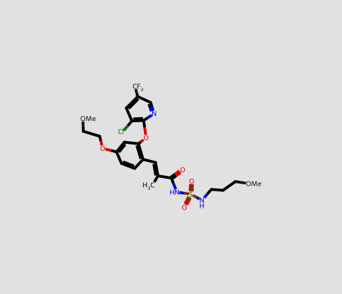 COCCCNS(=O)(=O)NC(=O)/C(C)=C/c1ccc(OCCOC)cc1Oc1ncc(C(F)(F)F)cc1Cl